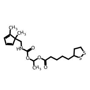 CC1=CC=CC1(C)CNC(=O)OC(C)OC(=O)CCCCC1CCSS1